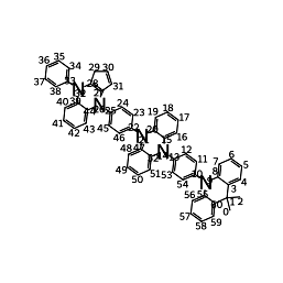 CC1(C)c2ccccc2N(c2ccc(N3c4ccccc4N(c4ccc(N5C6=C(CC=C6)N(c6ccccc6)c6ccccc65)cc4)c4ccccc43)cc2)c2ccccc21